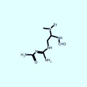 CCN(C)C(CNC(N)=NC(N)=O)NC=O